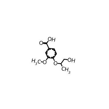 COc1cc(C(=O)O)ccc1OC(C)CO